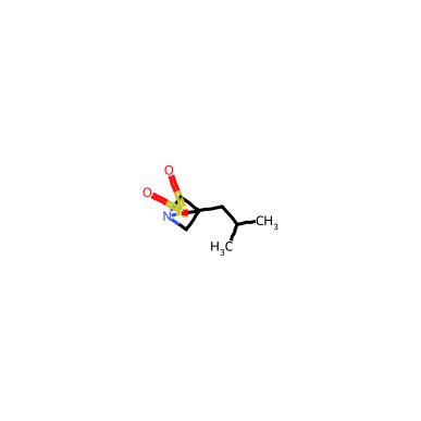 CC(C)CC12CN(C1)S(=O)(=O)C2